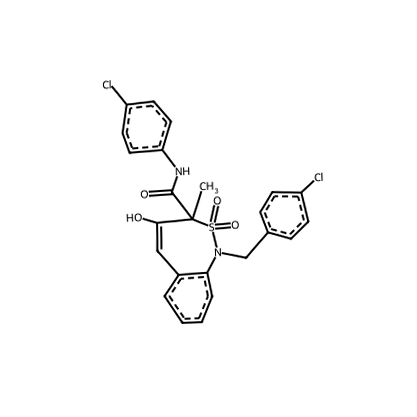 CC1(C(=O)Nc2ccc(Cl)cc2)C(O)=Cc2ccccc2N(Cc2ccc(Cl)cc2)S1(=O)=O